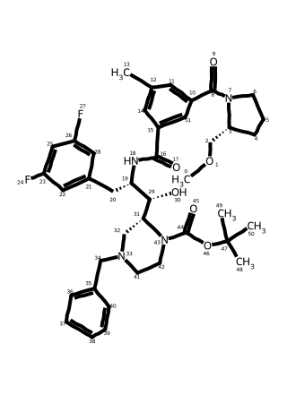 COC[C@H]1CCCN1C(=O)c1cc(C)cc(C(=O)N[C@@H](Cc2cc(F)cc(F)c2)[C@H](O)[C@H]2CN(Cc3ccccc3)CCN2C(=O)OC(C)(C)C)c1